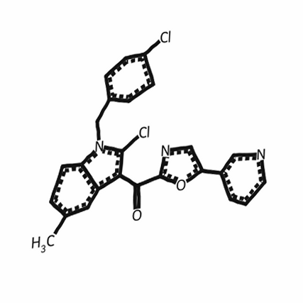 Cc1ccc2c(c1)c(C(=O)c1ncc(-c3cccnc3)o1)c(Cl)n2Cc1ccc(Cl)cc1